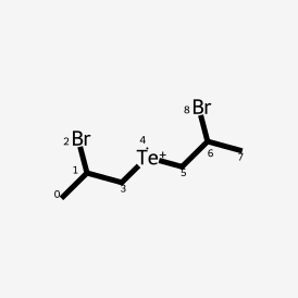 CC(Br)C[Te+]CC(C)Br